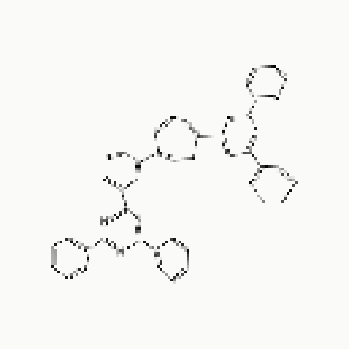 C1=CC(c2cccc(-c3nc(-c4ccccc4)nc(-c4ccccc4)n3)c2)=CCC(c2cc(-c3ccccc3)cc(-c3ccccc3)c2)=C1